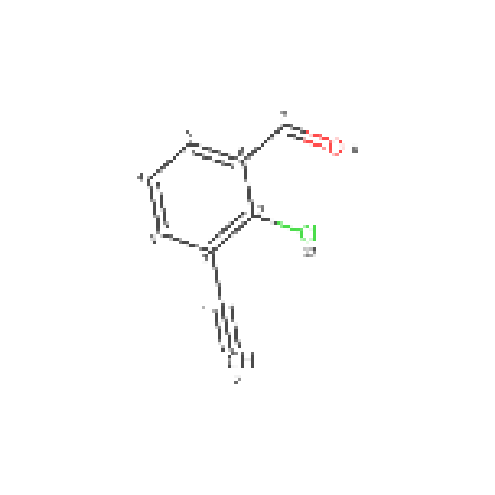 C#Cc1cccc(C=O)c1Cl